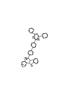 c1ccc(-c2cc(-c3ccccc3)nc(-c3ccc(-c4ccc(C5=Nc6ccccc6C6Sc7ccccc7C56)cc4)cc3)n2)cc1